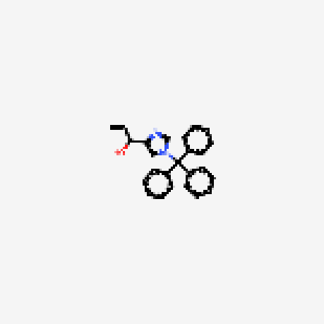 C=CC(O)c1cn(C(c2ccccc2)(c2ccccc2)c2ccccc2)cn1